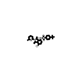 C=c1c2c(Cl)ccc(NS(=O)(=O)c3ccc(C(C)(C)C)cc3)c2c(=C)n1-c1cccc(C)n1